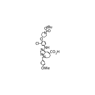 COc1ccc(CN2CCCC(C(=O)O)=Cc3c(Nc4ccc(OC5CCN(C(=O)OC(C)(C)C)CC5)c(Cl)c4)ncnc32)cc1